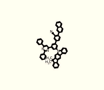 CC1(C)c2ccccc2-c2cc3c4ccccc4n(-c4cc(-c5ccc(-c6ccc7ccccc7c6)c(C#N)c5)cc(-c5cc(-c6ccccc6)nc(-c6ccccc6)n5)c4)c3cc21